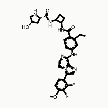 CCc1cc(Nc2nccn3c(-c4ccc(OC)c(F)c4F)cnc23)ccc1C(=O)NC1CCC1NC(=O)[C@@H]1C[C@@H](O)CN1